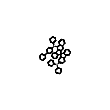 c1ccc(-c2ccc(N(c3ccccc3)c3c4c(cc5ccccc35)C3(c5ccccc5-c5ccc(N(c6ccccc6)c6ccccc6)cc53)c3ccccc3-4)cc2)cc1